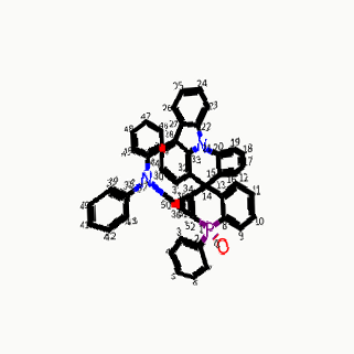 O=P1(c2ccccc2)c2ccccc2C2(c3ccccc3-n3c4ccccc4c4cccc2c43)c2cc(N(c3ccccc3)c3ccccc3)ccc21